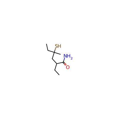 CCC(CC(C)(S)CC)C(N)=O